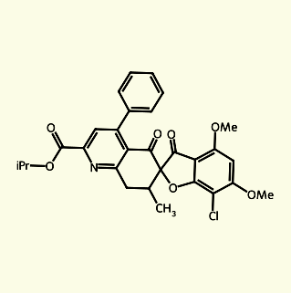 COc1cc(OC)c2c(c1Cl)OC1(C(=O)c3c(-c4ccccc4)cc(C(=O)OC(C)C)nc3CC1C)C2=O